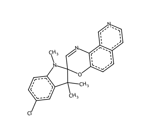 CN1c2ccc(Cl)cc2C(C)(C)C12C=Nc1c(ccc3ccncc13)O2